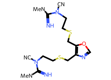 CNC(=N)N(C#N)CCSCc1ncoc1CSCCN(C#N)C(=N)NC